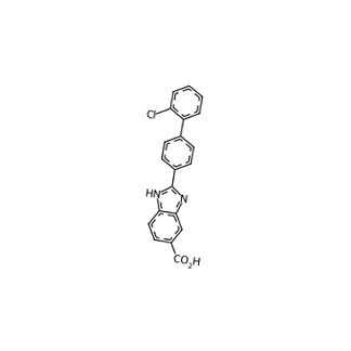 O=C(O)c1ccc2[nH]c(-c3ccc(-c4ccccc4Cl)cc3)nc2c1